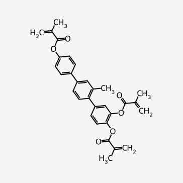 C=C(C)C(=O)Oc1ccc(-c2ccc(-c3ccc(OC(=O)C(=C)C)c(OC(=O)C(=C)C)c3)c(C)c2)cc1